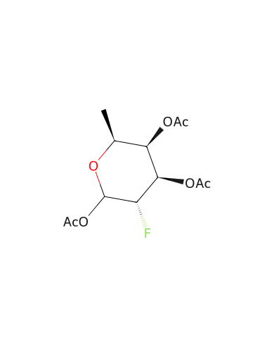 CC(=O)OC1O[C@@H](C)[C@@H](OC(C)=O)[C@@H](OC(C)=O)[C@@H]1F